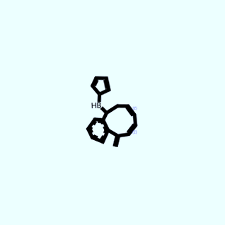 C=C1/C=C\C=C/CC(BC2C=CC=C2)c2ccccc21